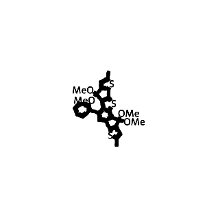 COC1(OC)c2cc(C)sc2-c2cc(-c3ccccc3)c3c4c(sc3c21)-c1sc(C)cc1C4(OC)OC